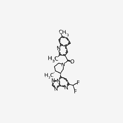 Cc1ccc2cc(C(=O)N3CC[C@@H](C)[C@H](c4cc(C(F)F)nc5ncnn45)C3)c(C)nc2c1